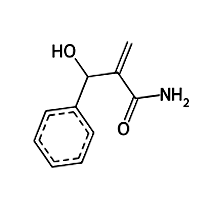 C=C(C(N)=O)C(O)c1ccccc1